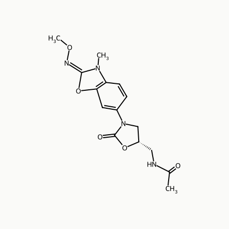 CON=c1oc2cc(N3C[C@H](CNC(C)=O)OC3=O)ccc2n1C